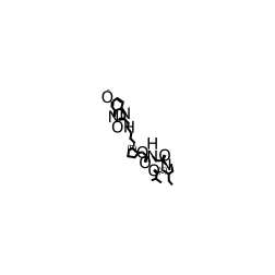 CCC1CCN(C(=O)CNC(=O)OC2CCC[C@H]2CCCCCc2nc3ccc(OC)cc3nc2O)[C@@H]1C(=O)C(C)C